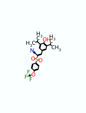 CC(C)c1cc(/C=C(\C#N)S(=O)(=O)c2ccc(OC(F)(F)F)cc2)cc(C(C)C)c1O